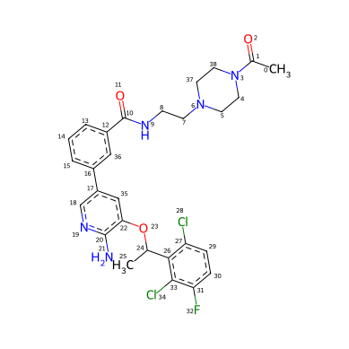 CC(=O)N1CCN(CCNC(=O)c2cccc(-c3cnc(N)c(OC(C)c4c(Cl)ccc(F)c4Cl)c3)c2)CC1